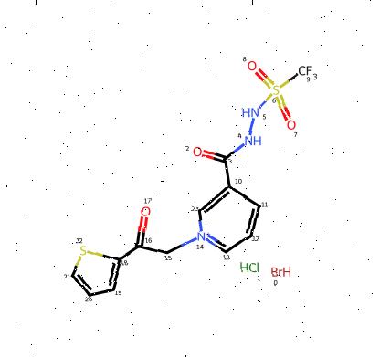 Br.Cl.O=C(NNS(=O)(=O)C(F)(F)F)c1ccc[n+](CC(=O)c2cccs2)c1